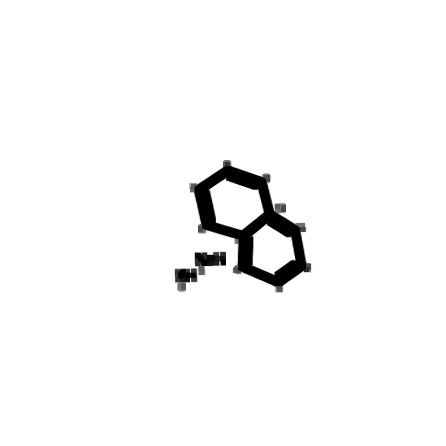 [KH].[NaH].c1ccc2ccccc2c1